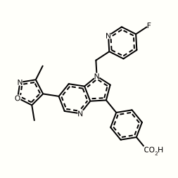 Cc1noc(C)c1-c1cnc2c(-c3ccc(C(=O)O)cc3)cn(Cc3ccc(F)cn3)c2c1